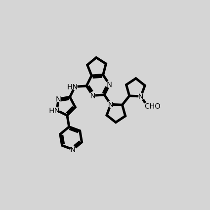 O=CN1CCCC1C1CCCN1c1nc2c(c(Nc3cc(-c4ccncc4)[nH]n3)n1)CCC2